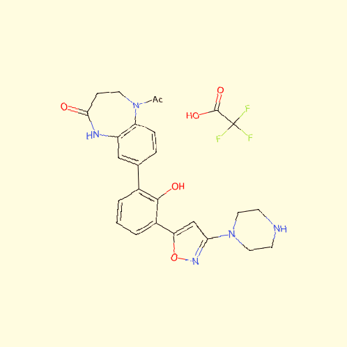 CC(=O)N1CCC(=O)Nc2cc(-c3cccc(-c4cc(N5CCNCC5)no4)c3O)ccc21.O=C(O)C(F)(F)F